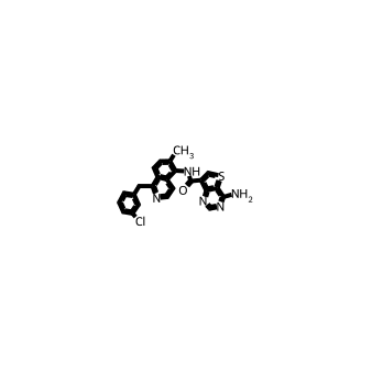 Cc1ccc2c(Cc3cccc(Cl)c3)nccc2c1NC(=O)c1csc2c(N)ncnc12